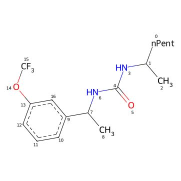 CCCCCC(C)NC(=O)NC(C)c1cccc(OC(F)(F)F)c1